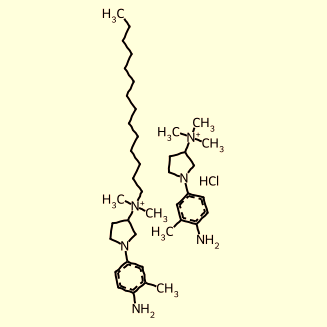 CCCCCCCCCCCCCC[N+](C)(C)C1CCN(c2ccc(N)c(C)c2)C1.Cc1cc(N2CCC([N+](C)(C)C)C2)ccc1N.Cl